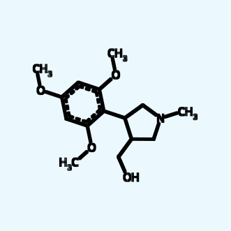 COc1cc(OC)c(C2CN(C)CC2CO)c(OC)c1